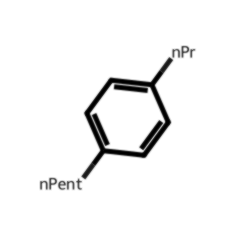 [CH2]CCc1ccc(CCCCC)cc1